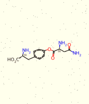 NC(=O)C[C@H](N)C(=O)Oc1ccc(C[C@H](N)C(=O)O)cc1